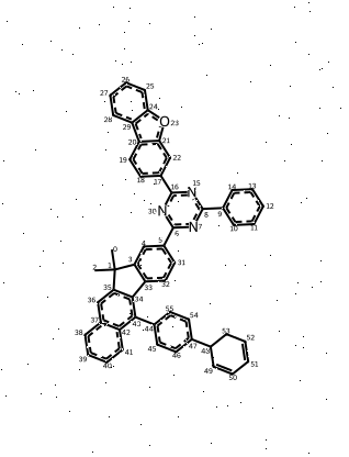 CC1(C)c2cc(-c3nc(-c4ccccc4)nc(-c4ccc5c(c4)oc4ccccc45)n3)ccc2-c2c1cc1ccccc1c2-c1ccc(C2C=CC=CC2)cc1